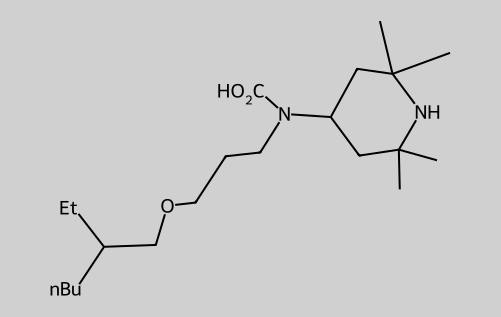 CCCCC(CC)COCCCN(C(=O)O)C1CC(C)(C)NC(C)(C)C1